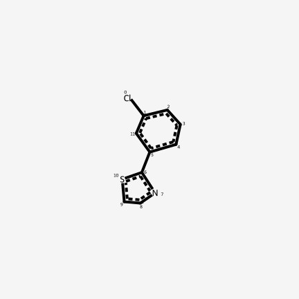 Clc1cccc(-c2n[c]cs2)c1